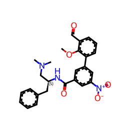 COc1c(C=O)cccc1-c1cc(C(=O)N[C@@H](Cc2ccccc2)CN(C)C)cc([N+](=O)[O-])c1